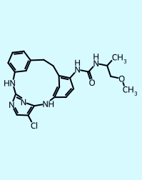 COCC(C)NC(=O)Nc1ccc2cc1CCc1cccc(c1)Nc1ncc(Cl)c(n1)N2